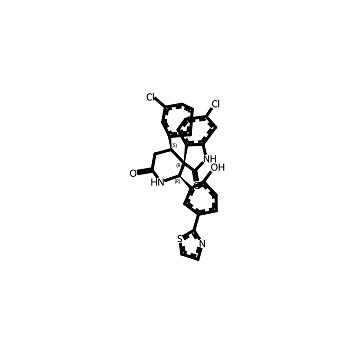 O=C1C[C@@H](c2cccc(Cl)c2)[C@]2(C(=O)Nc3cc(Cl)ccc32)[C@@H](c2cc(-c3nccs3)ccc2O)N1